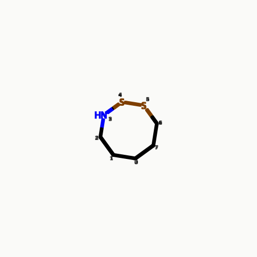 C1CCNSSCC1